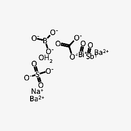 O.O=C([O-])[O-].O=S(=O)([O-])[O-].[Ba+2].[Ba+2].[Na+].[O-]B([O-])[O-].[O]=[Bi+].[O]=[Sb+]